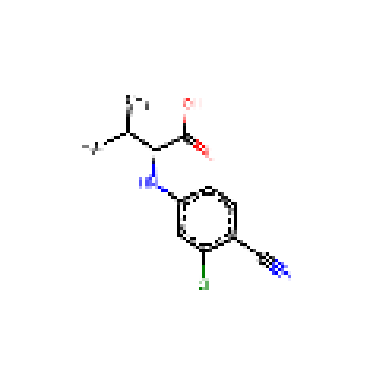 CC(C)[C@H](Nc1ccc(C#N)c(Cl)c1)C(=O)O